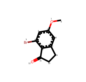 COc1cc(Br)c2c(c1)CCC2=O